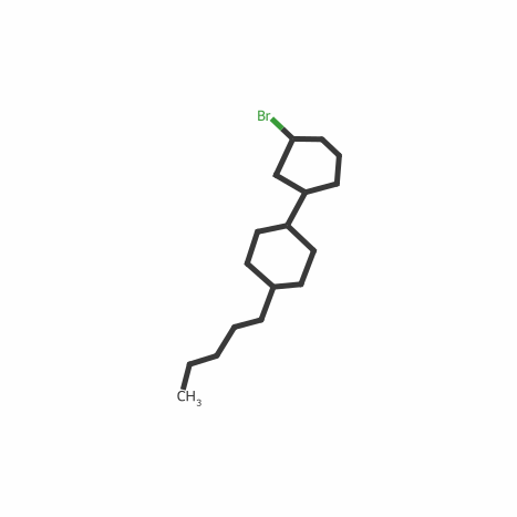 CCCCCC1CCC(C2CCCC(Br)C2)CC1